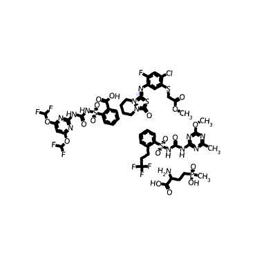 COC(=O)CSc1cc(/N=c2\sc(=O)n3n2CCCC3)c(F)cc1Cl.COc1nc(C)nc(NC(=O)NS(=O)(=O)c2ccccc2CCC(F)(F)F)n1.CP(=O)(O)CCC(N)C(=O)O.O=C(Nc1nc(OC(F)F)cc(OC(F)F)n1)NS(=O)(=O)c1ccccc1C(=O)O